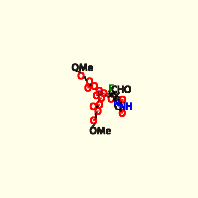 COCCOCCOC(=O)OCOP(=O)(OCOC(=O)OCCOCCOC)OC[C@@]1(CF)O[C@@H](n2ccc(=O)[nH]c2=O)C(C)(C)[C@@H]1C=O